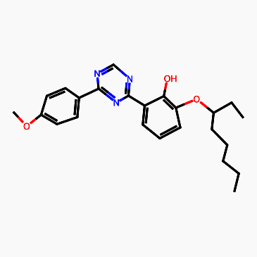 CCCCCC(CC)Oc1cccc(-c2ncnc(-c3ccc(OC)cc3)n2)c1O